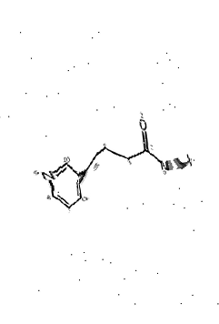 [NH]C(=O)CCc1cccnc1